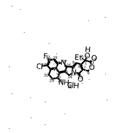 CC[C@@]1(O)C(=O)OCc2c1cc1n(c2=O)Cc2c-1nc1cc(F)c(Cl)c3c1c2C(N)CC3.Cl